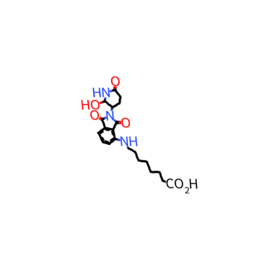 O=C(O)CCCCCCCNc1cccc2c1C(=O)N(C1CCC(=O)NC1O)C2=O